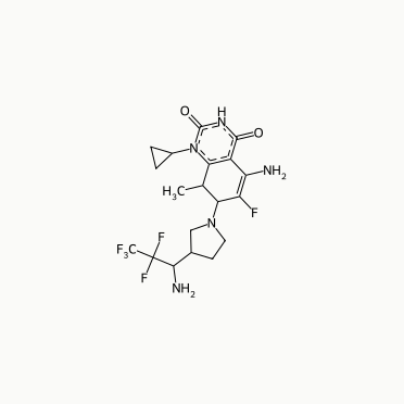 CC1c2c(c(=O)[nH]c(=O)n2C2CC2)C(N)=C(F)C1N1CCC(C(N)C(F)(F)C(F)(F)F)C1